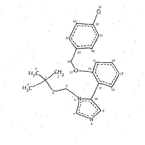 CC(C)(C)CCn1cncc1-c1ccccc1OCc1ccc(Cl)cc1